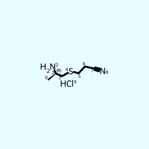 C[C@@H](N)CSCCC#N.Cl